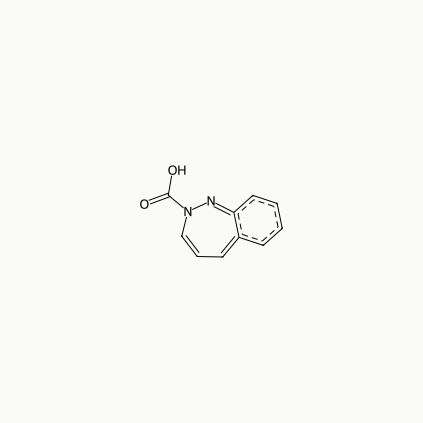 O=C(O)N1C=CC=c2ccccc2=N1